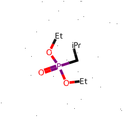 CCOP(=O)(CC(C)C)OCC